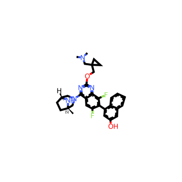 CN(C)CC1(COc2nc(N3C[C@H]4CC[C@@](C)(C3)N4)c3cc(F)c(-c4cc(O)cc5ccccc45)c(F)c3n2)CC1